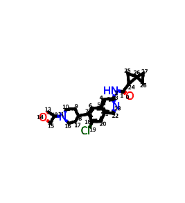 O=C(Nc1cc2cc(C3CCN(C4COC4)CC3)c(Cl)cc2cn1)C1CC12CC2